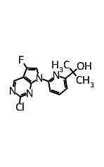 CC(C)(O)c1cccc(-n2cc(F)c3cnc(Cl)nc32)n1